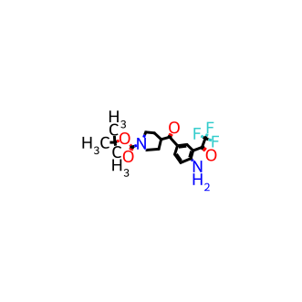 CC(C)(C)OC(=O)N1CCC(C(=O)c2ccc(N)c(C(=O)C(F)(F)F)c2)CC1